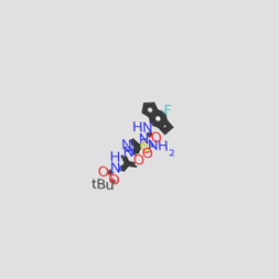 CC(C)(C)OC(=O)NCC1COc2c(S(N)(=O)=NC(=O)Nc3c4c(c(F)c5c3CC5)CCC4)cnn2C1